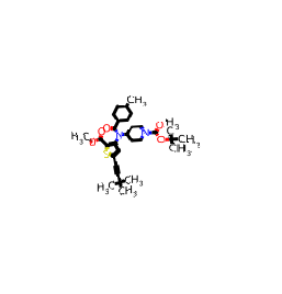 COC(=O)c1sc(C#CC(C)(C)C)cc1N(C(=O)C1CCC(C)CC1)C1CCN(C(=O)OC(C)(C)C)CC1